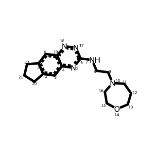 c1c2c(cc3nc(NCCN4CCCOCC4)nnc13)CCC2